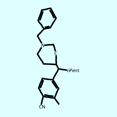 CCCCCC(c1ccc(C#N)c(C)c1)C1CCN(Cc2ccccc2)CC1